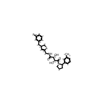 Cc1cccc(C2CCCN2C(=O)[C@H](O)[C@@H](O)C(=O)NCC2=CC(Cc3cccc(F)c3)CS2)c1